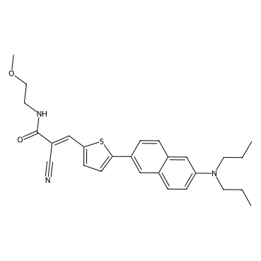 CCCN(CCC)c1ccc2cc(-c3ccc(/C=C(\C#N)C(=O)NCCOC)s3)ccc2c1